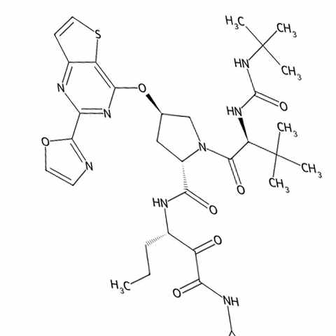 CCC[C@H](NC(=O)[C@@H]1C[C@@H](Oc2nc(-c3ncco3)nc3ccsc23)CN1C(=O)[C@@H](NC(=O)NC(C)(C)C)C(C)(C)C)C(=O)C(=O)NC1CC1